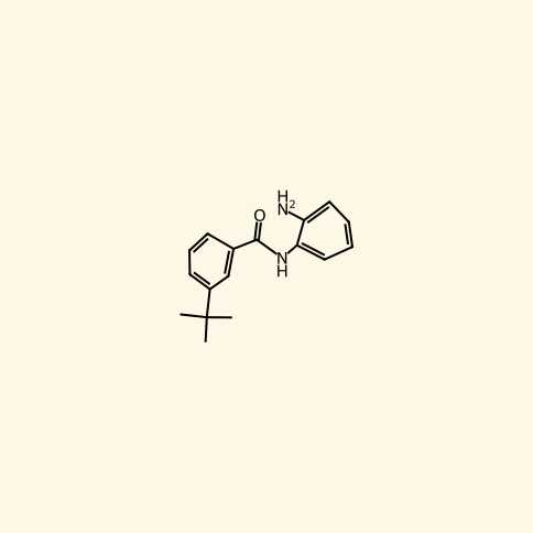 CC(C)(C)c1cccc(C(=O)Nc2ccccc2N)c1